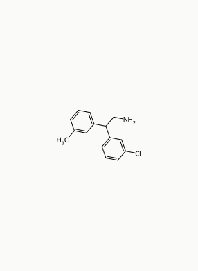 Cc1cccc(C(CN)c2cccc(Cl)c2)c1